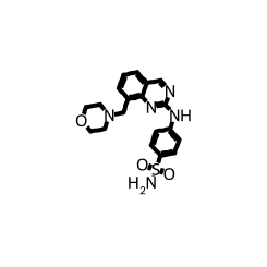 NS(=O)(=O)c1ccc(Nc2ncc3cccc(CN4CCOCC4)c3n2)cc1